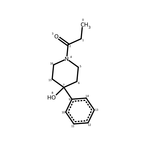 CCC(=O)N1CCC(O)(c2ccccc2)CC1